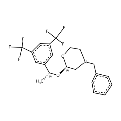 C[C@@H](O[C@@H]1CN(Cc2ccccc2)CCO1)c1cc(C(F)(F)F)cc(C(F)(F)F)c1